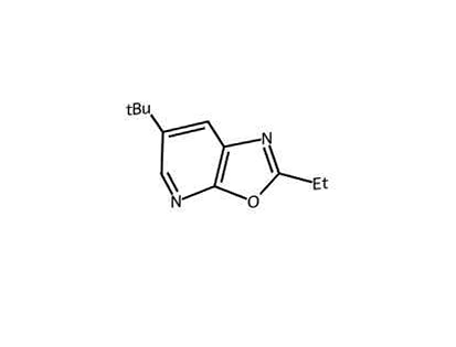 CCc1nc2cc(C(C)(C)C)cnc2o1